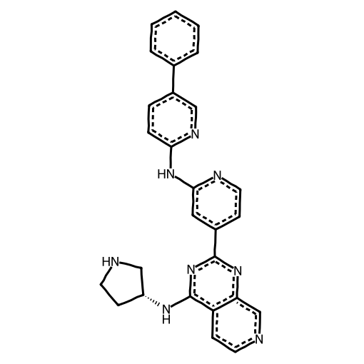 c1ccc(-c2ccc(Nc3cc(-c4nc(N[C@@H]5CCNC5)c5ccncc5n4)ccn3)nc2)cc1